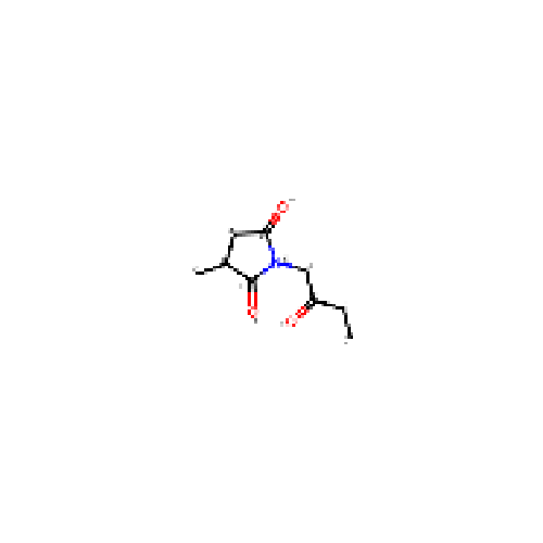 CCC(=O)CN1C(=O)CC(C)C1=O